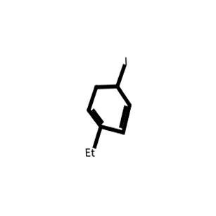 CCC1=CCC(I)C=C1